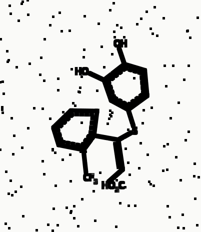 O=C(O)C=C(Sc1ccc(O)c(O)c1)c1ccccc1C(F)(F)F